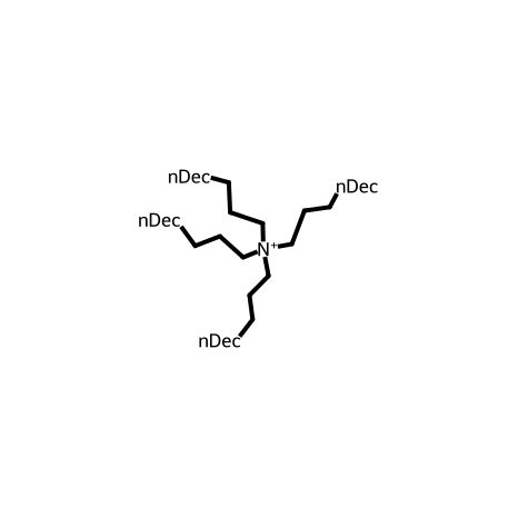 CCCCCCCCCCCCC[N+](CCCCCCCCCCCCC)(CCCCCCCCCCCCC)CCCCCCCCCCCCC